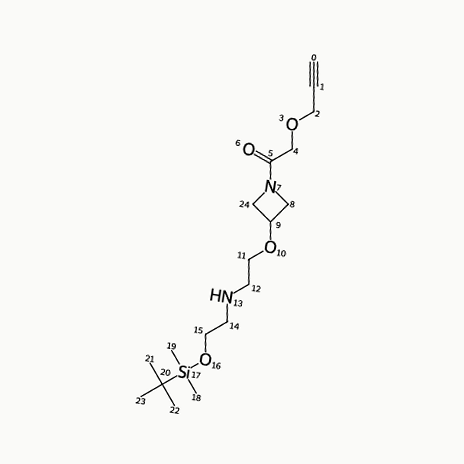 C#CCOCC(=O)N1CC(OCCNCCO[Si](C)(C)C(C)(C)C)C1